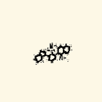 CS(C)(N)c1c(-c2ccc3ccccc3c2N)cccc1C1C=Cc2ccccc21